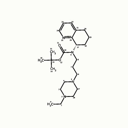 CCN1CCN(CCCN(C(=O)OC(C)(C)C)[C@H]2CCCc3cccnc32)CC1